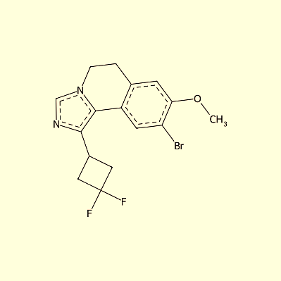 COc1cc2c(cc1Br)-c1c(C3CC(F)(F)C3)ncn1CC2